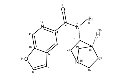 CC(C)N(C(=O)c1cc2ccoc2cn1)[C@H]1CN2CC[C@H]1C2